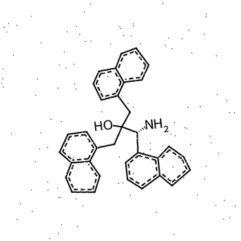 N[C@H](c1cccc2ccccc12)C(O)(Cc1cccc2ccccc12)Cc1cccc2ccccc12